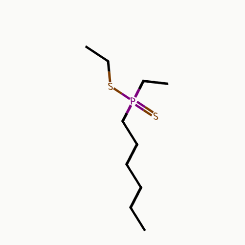 CCCCCCP(=S)(CC)SCC